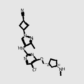 CN[C@H]1CC[C@@H](COc2nc(Nc3cn(C4CC(C#N)C4)nc3C)ncc2Cl)C1